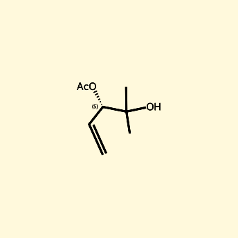 C=C[C@H](OC(C)=O)C(C)(C)O